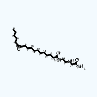 CCCCCC1OC1CC=CCCCCCCCC(=O)NCCNCC(N)=O